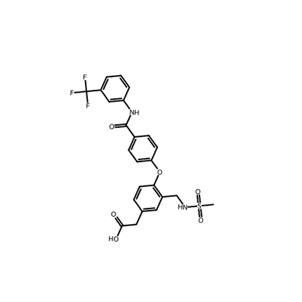 CS(=O)(=O)NCc1cc(CC(=O)O)ccc1Oc1ccc(C(=O)Nc2cccc(C(F)(F)F)c2)cc1